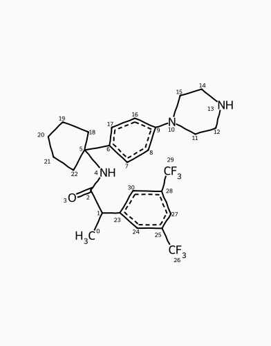 CC(C(=O)NC1(c2ccc(N3CCNCC3)cc2)CCCCC1)c1cc(C(F)(F)F)cc(C(F)(F)F)c1